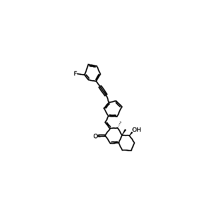 C[C@H]1/C(=C\c2cccc(C#Cc3cccc(F)c3)c2)C(=O)C=C2CCC[C@H](O)[C@]21C